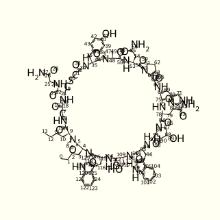 CCCC[C@H]1C(=O)N(C)[C@@H](CCCC)C(=O)NCC(=O)N[C@H](C(=O)NCC(N)=O)CSCC(=O)N[C@@H](Cc2ccc(O)cc2)C(=O)N(C)[C@@H](C)C(=O)N[C@@H](CC(N)=O)C(=O)N2CCC[C@H]2C(=O)N[C@@H](Cc2c[nH]cn2)C(=O)N[C@@H](CCC(N)=O)C(=O)N2C[C@H](O)C[C@H]2C(=O)N[C@@H](Cc2c[nH]c3ccccc23)C(=O)N[C@@H](CO)C(=O)N[C@@H](Cc2c[nH]c3ccccc23)C(=O)N1C